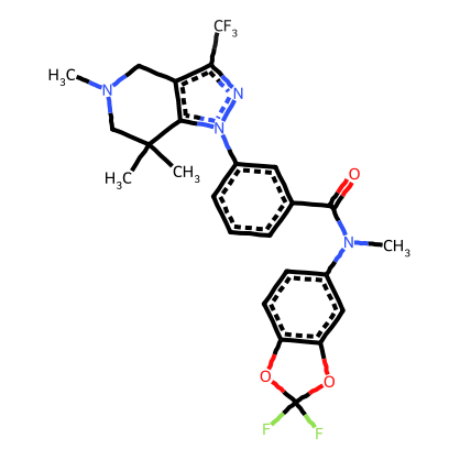 CN1Cc2c(C(F)(F)F)nn(-c3cccc(C(=O)N(C)c4ccc5c(c4)OC(F)(F)O5)c3)c2C(C)(C)C1